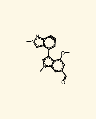 COc1cc(C=O)cc2c1c(-c1cc#cc3nn(C)cc13)cn2C